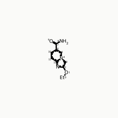 CCOc1cn2cc(C(N)=O)ccc2n1